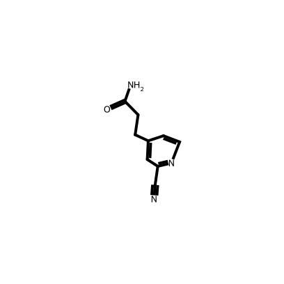 N#Cc1cc(CCC(N)=O)ccn1